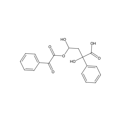 O=C(OC(O)CC(O)(C(=O)O)c1ccccc1)C(=O)c1ccccc1